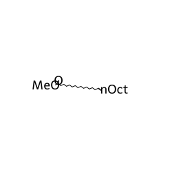 CCCCCCCCC=CCCCCCCCCCCCCCC(=O)OC